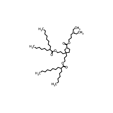 CCCCCCCCC(CCCCCC)C(=O)OCCCC1(CCCOC(=O)C(CCCCCC)CCCCCCCC)CCN(C(=O)OCCCN(CC)CC)C1